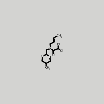 CC=CCN(CC1OCC(C)CO1)C(=O)C(Cl)Cl